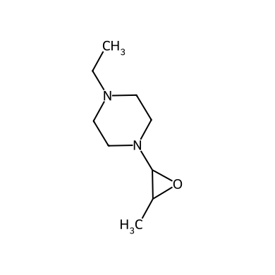 CCN1CCN(C2OC2C)CC1